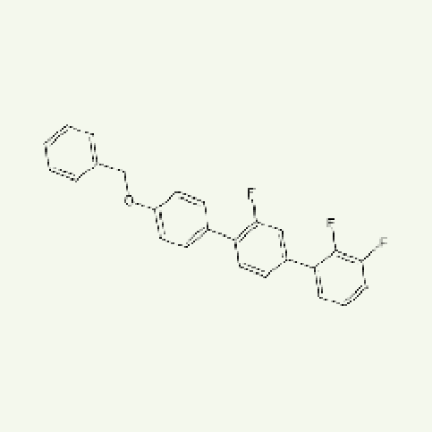 Fc1cc(-c2cccc(F)c2F)ccc1-c1ccc(OCc2ccccc2)cc1